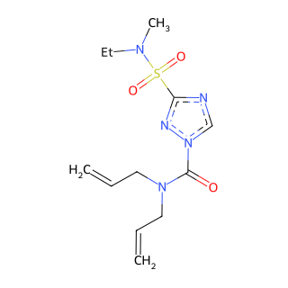 C=CCN(CC=C)C(=O)n1cnc(S(=O)(=O)N(C)CC)n1